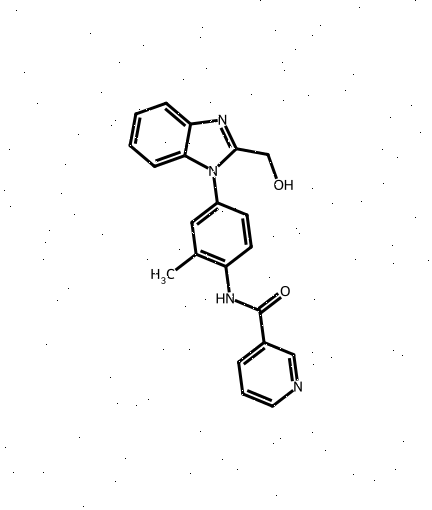 Cc1cc(-n2c(CO)nc3ccccc32)ccc1NC(=O)c1cccnc1